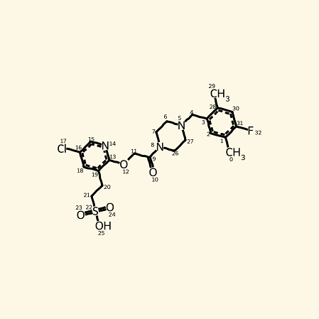 Cc1cc(CN2CCN(C(=O)COc3ncc(Cl)cc3CCS(=O)(=O)O)CC2)c(C)cc1F